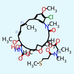 COc1cc2cc(c1Cl)N(C)C(=O)C[C@H](OC(=O)[C@H](C)N(C)C(=O)CCSC)C1(C)CC(C)(O1)C1CC(O)(NC(=O)O1)C(OC)/C=C/C=C(\C)C2